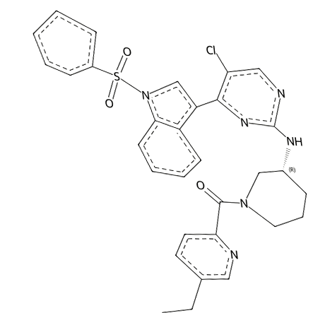 CCc1ccc(C(=O)N2CCC[C@@H](Nc3ncc(Cl)c(-c4cn(S(=O)(=O)c5ccccc5)c5ccccc45)n3)C2)nc1